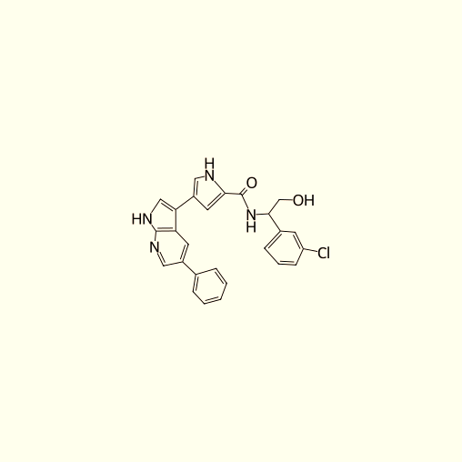 O=C(NC(CO)c1cccc(Cl)c1)c1cc(-c2c[nH]c3ncc(-c4ccccc4)cc23)c[nH]1